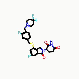 O=C1CCC(N2Cc3c(SCc4ccc(CN5CCC(F)(F)CC5)c(F)c4)cc(F)cc3C2=O)C(=O)N1